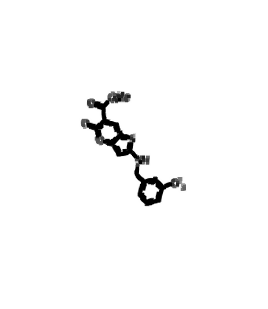 COC(=O)c1cc2sc(NCc3cccc(C(F)(F)F)c3)cc2oc1=O